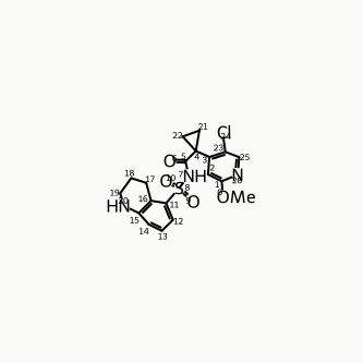 COc1cc(C2(C(=O)NS(=O)(=O)c3cccc4c3CCCN4)CC2)c(Cl)cn1